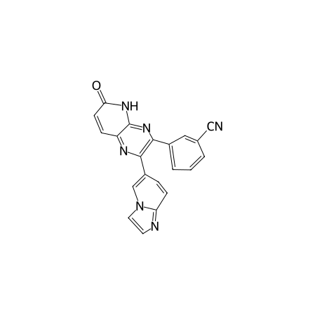 N#Cc1cccc(-c2nc3[nH]c(=O)ccc3nc2-c2ccc3nccn3c2)c1